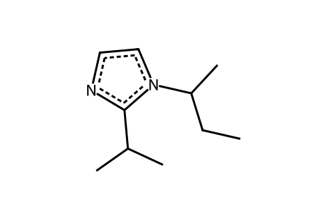 CCC(C)n1ccnc1C(C)C